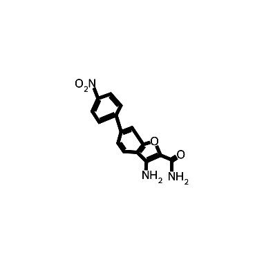 NC(=O)c1oc2cc(-c3ccc([N+](=O)[O-])cc3)ccc2c1N